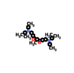 Cc1ccc(N(c2ccc(C)c(C)c2)c2ccc3cc4c(cc3c2)oc2c(C)c3oc5cc6cc(N(c7ccc(C)cc7)c7ccc(C)c(C)c7)ccc6cc5c3cc24)cc1